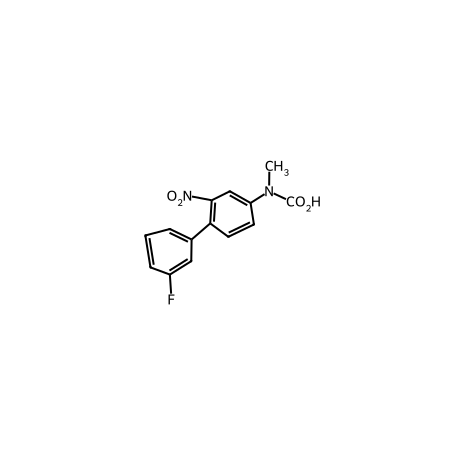 CN(C(=O)O)c1ccc(-c2cccc(F)c2)c([N+](=O)[O-])c1